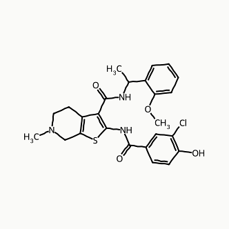 COc1ccccc1C(C)NC(=O)c1c(NC(=O)c2ccc(O)c(Cl)c2)sc2c1CCN(C)C2